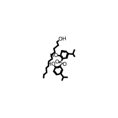 CC(C)c1ccc(O)c(S(=O)(=O)c2cc(C(C)C)ccc2O)c1.CCCCCCCCCCCCO